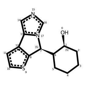 O[C@H]1CCCCC1[C@H]1c2sccc2-c2cncn21